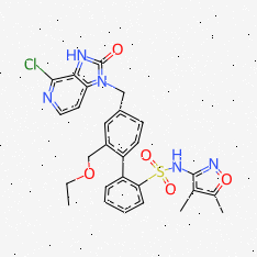 CCOCc1cc(Cn2c(=O)[nH]c3c(Cl)nccc32)ccc1-c1ccccc1S(=O)(=O)Nc1noc(C)c1C